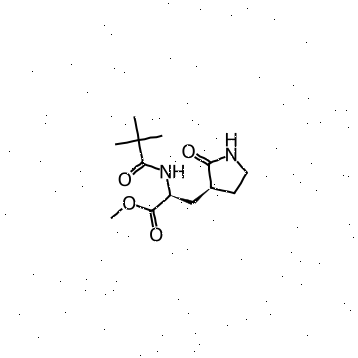 COC(=O)[C@H](C[C@@H]1CCNC1=O)NC(=O)C(C)(C)C